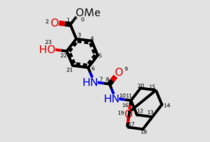 COC(=O)c1ccc(NC(=O)NC23CC4CC(CC(C4)O2)C3)cc1O